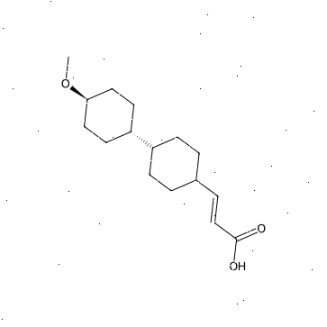 CO[C@H]1CC[C@H](C2CCC(C=CC(=O)O)CC2)CC1